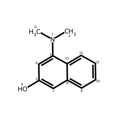 CN(C)c1cc(O)cc2ccccc12